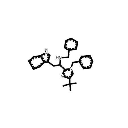 CC(C)(C)c1cn(Cc2ccccc2)c(C(Cc2c[nH]c3ccccc23)NCc2ccccc2)n1